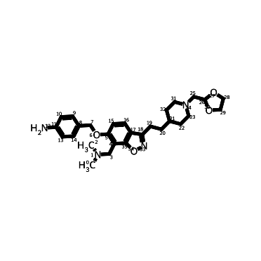 CN(C)Cc1c(OCc2ccc(N)cc2)ccc2c(CCC3CCN(CC4OCCO4)CC3)noc12